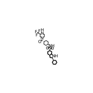 O=C([C@H]1CC[C@H](NS(=O)(=O)c2ccc3cc(-c4ccccc4)[nH]c3c2)CC1)N1CCNC(C(F)(F)F)C1